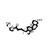 C[C@H](CCC(=O)N1CC[C@H](CO)O1)[C@H]1CC[C@H]2[C@@H]3CC=C4C[C@@H](O)CC[C@]4(C)[C@H]3CC[C@]12C